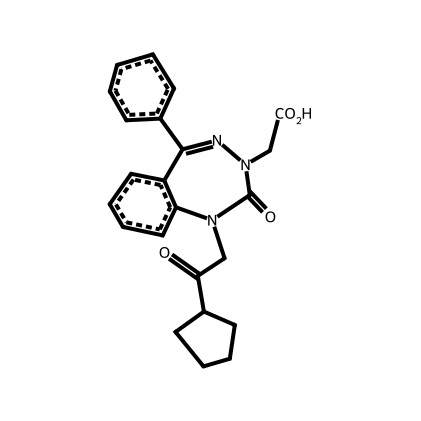 O=C(O)CN1N=C(c2ccccc2)c2ccccc2N(CC(=O)C2CCCC2)C1=O